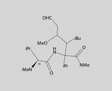 CCC(C)C(C(CC=O)OC)C(NC(=O)[C@@H](NC)C(C)C)(C(=O)NC)C(C)C